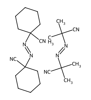 CC(C)(C#N)/N=N/C(C)(C)C#N.N#CC1(/N=N/C2(C#N)CCCCC2)CCCCC1